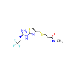 CNC(=O)CCSCc1csc(N/C(N)=N\CC(F)(F)F)n1